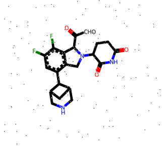 O=CC(=O)C1c2c(F)c(F)cc(C3C4CNCC3C4)c2CN1C1CCC(=O)NC1=O